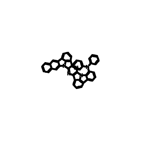 c1ccc(N(c2ccccc2)c2cccc3c4cccc5c6nc7c(nc6n(c23)c45)c2cccc3c4cc5ccccc5cc4n7c32)cc1